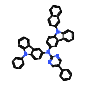 c1ccc(-c2cnc(N(c3ccc4c(c3)c3ccccc3n4-c3ccccc3)c3ccc4c(c3)c3ccccc3n4-c3ccc4ccccc4c3)nc2)cc1